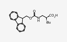 CC[C@H](C)[C@@H](CNC(=O)OCC1c2ccccc2-c2ccccc21)C(=O)O